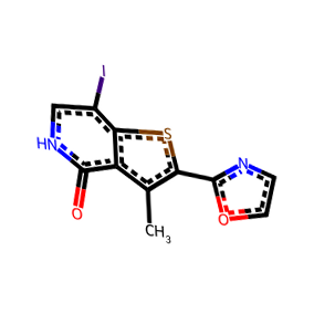 Cc1c(-c2ncco2)sc2c(I)c[nH]c(=O)c12